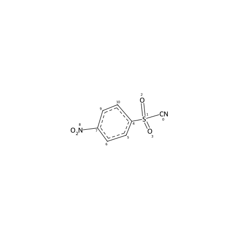 N#CS(=O)(=O)c1ccc([N+](=O)[O-])cc1